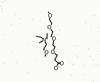 CC[N+](C)(CC)CCOC.COCCOCCOCCOCCC(=O)[O-]